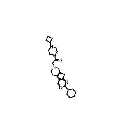 O=C(CN1CCc2c(sc3nc(C4CCCCC4)ncc23)C1)N1CCN(C2CCC2)CC1